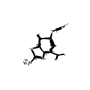 Cc1c(SC#N)cc(C(C)C)c2nc(N)sc12